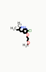 CCC(Cc1ccc(Cl)c(OCCCOC)c1)C(C)N